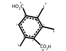 Cc1cc(C(=O)O)c(I)c(C)c1C(=O)O